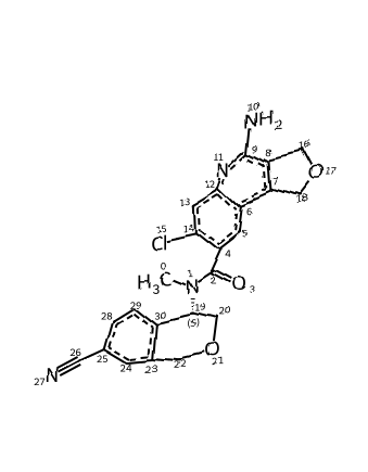 CN(C(=O)c1cc2c3c(c(N)nc2cc1Cl)COC3)[C@@H]1COCc2cc(C#N)ccc21